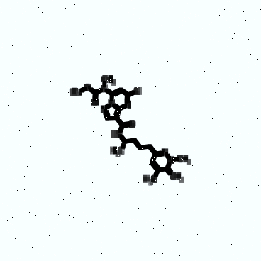 C=C1C(C)=CC(CCC[C@@H](C)NC(=O)c2cnn3c(N(C)C(=O)OC(C)(C)C)cc(Cl)nc23)=NN1C